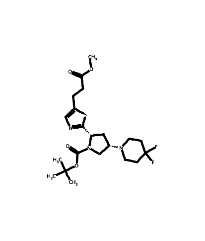 COC(=O)CCc1cnc([C@@H]2C[C@H](N3CCC(F)(F)CC3)CN2C(=O)OC(C)(C)C)s1